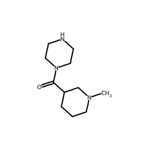 CN1CCCC(C(=O)N2CCNCC2)C1